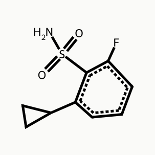 NS(=O)(=O)c1c(F)cccc1C1CC1